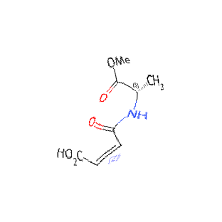 COC(=O)[C@H](C)NC(=O)/C=C\C(=O)O